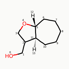 OCC1CO[C@@H]2CCCCC[C@@H]12